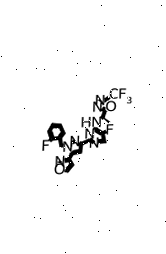 C[C@@H](Nc1nc(-c2cc(-c3ccon3)n(Cc3ccccc3F)n2)ncc1F)c1nnc(C(F)(F)F)o1